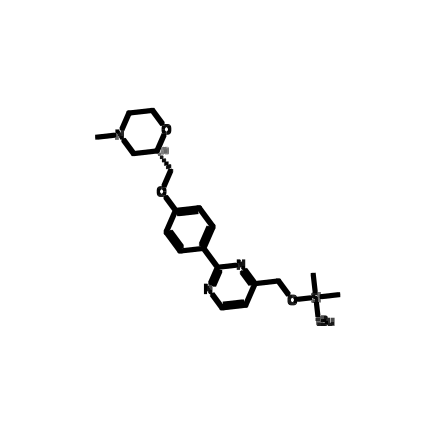 CN1CCO[C@H](COc2ccc(-c3nccc(CO[Si](C)(C)C(C)(C)C)n3)cc2)C1